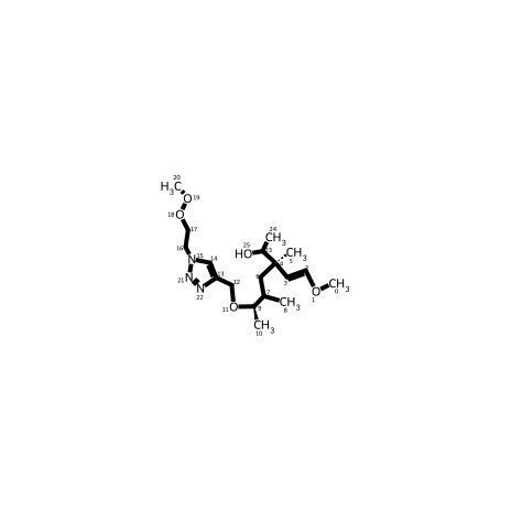 CO/C=C/[C@@](C)(CC(C)[C@@H](C)OCc1cn(CCOOC)nn1)C(C)O